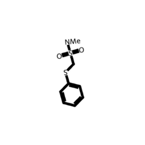 CNS(=O)(=O)CSc1ccccc1